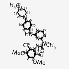 COc1cc(OC)c(Cl)c(NC(=O)N(C)c2ncnc(Nc3ccc(N4CCN(C)CC4)cc3)n2)c1Cl